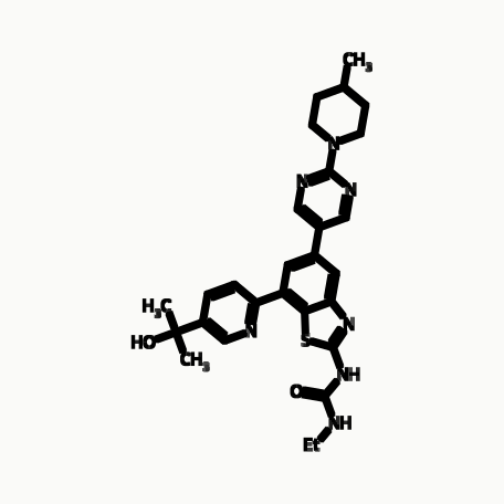 CCNC(=O)Nc1nc2cc(-c3cnc(N4CCC(C)CC4)nc3)cc(-c3ccc(C(C)(C)O)cn3)c2s1